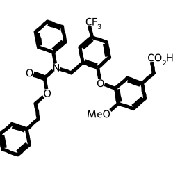 COc1ccc(CC(=O)O)cc1Oc1ccc(C(F)(F)F)cc1CN(C(=O)OCCc1ccccc1)c1ccccc1